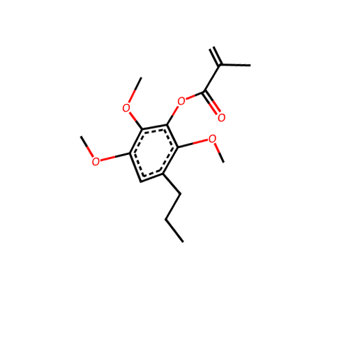 C=C(C)C(=O)Oc1c(OC)c(CCC)cc(OC)c1OC